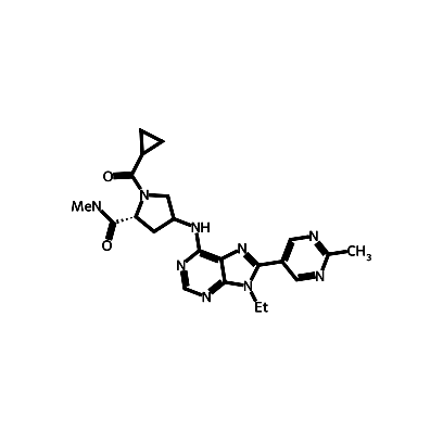 CCn1c(-c2cnc(C)nc2)nc2c(NC3C[C@H](C(=O)NC)N(C(=O)C4CC4)C3)ncnc21